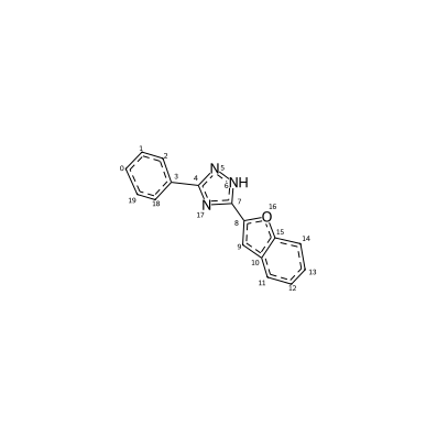 c1ccc(-c2n[nH]c(-c3cc4ccccc4o3)n2)cc1